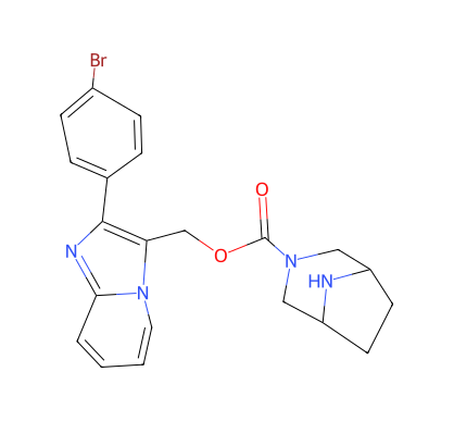 O=C(OCc1c(-c2ccc(Br)cc2)nc2ccccn12)N1CC2CCC(C1)N2